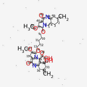 C=C1CCc2cn3c(OCCCCCOc4c(OC)cc5c(=O)nc6c(c(C(=O)O)n45)[C@@H](O)CC(=C)C6)c(OC)cc3c(=O)nc2C1